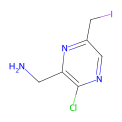 NCc1nc(CI)cnc1Cl